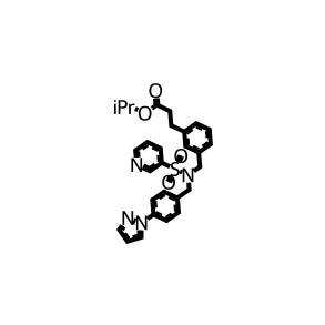 CC(C)OC(=O)CCc1cccc(CN(Cc2ccc(-n3cccn3)cc2)S(=O)(=O)c2cccnc2)c1